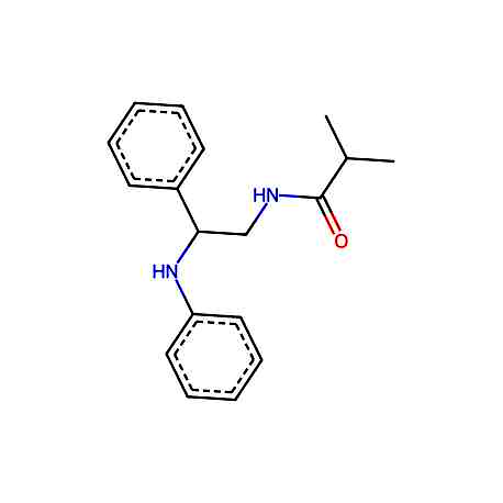 CC(C)C(=O)NCC(Nc1ccccc1)c1ccccc1